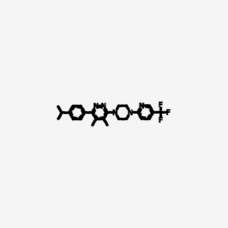 Cc1c(-c2ccc(C(C)C)cc2)nnc(N2CCN(c3ccc(C(F)(F)F)cn3)CC2)c1C